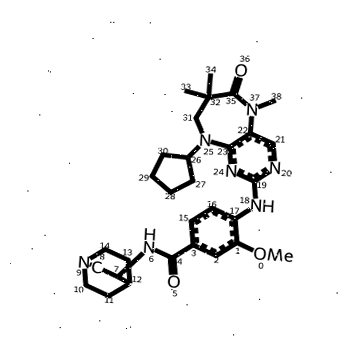 COc1cc(C(=O)NC2CN3CCC2CC3)ccc1Nc1ncc2c(n1)N(C1CCCC1)CC(C)(C)C(=O)N2C